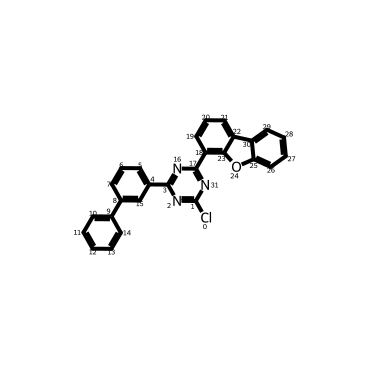 Clc1nc(-c2cccc(-c3ccccc3)c2)nc(-c2cccc3c2oc2ccccc23)n1